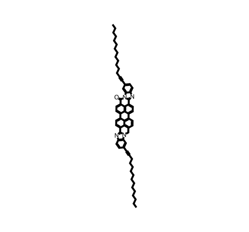 CCCCCCCCCCCCCC#Cc1ccc2nc3n(c2c1)Cc1ccc2c4ccc5c6c(ccc(c7ccc-3c1c72)c46)c(=O)n1c2cc(C#CCCCCCCCCCCCCC)ccc2nc51